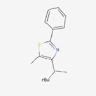 [CH2]CCCC(C)c1nc(-c2ccccc2)sc1C